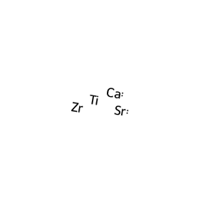 [Ca].[Sr].[Ti].[Zr]